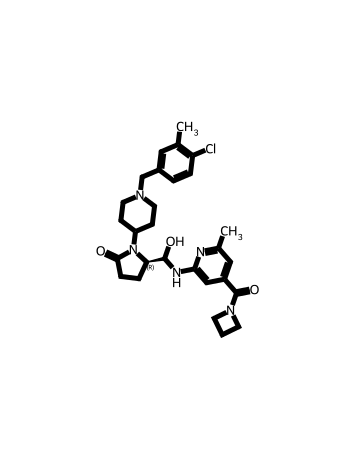 Cc1cc(C(=O)N2CCC2)cc(NC(O)[C@H]2CCC(=O)N2C2CCN(Cc3ccc(Cl)c(C)c3)CC2)n1